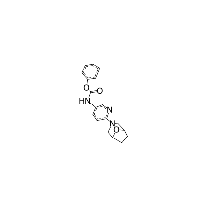 O=C(Nc1ccc(N2CC3CCC(C2)O3)nc1)Oc1ccccc1